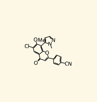 COc1c(Cl)cc2c(=O)cc(-c3ccc(C#N)cc3)oc2c1-c1ccnn1C